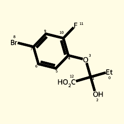 CCC(O)(Oc1ccc(Br)cc1F)C(=O)O